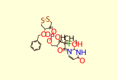 C[C@@]1(F)[C@@H]2OP(=O)(O[C@H]3CSSCC3OCc3ccccc3)OCC2O[C@H]1N1C=CC(=O)NC1O